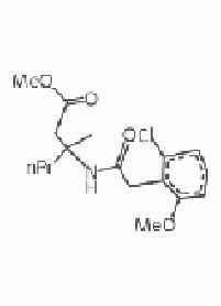 CCCC(C)(CC(=O)OC)NC(=O)Cc1c(Cl)cccc1OC